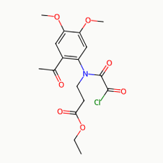 CCOC(=O)CCN(C(=O)C(=O)Cl)c1cc(OC)c(OC)cc1C(C)=O